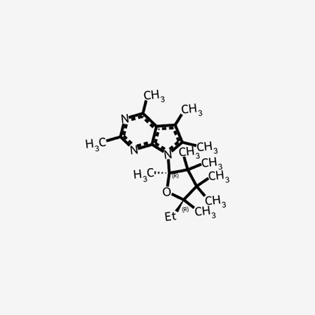 CC[C@@]1(C)O[C@@](C)(n2c(C)c(C)c3c(C)nc(C)nc32)C(C)(C)C1(C)C